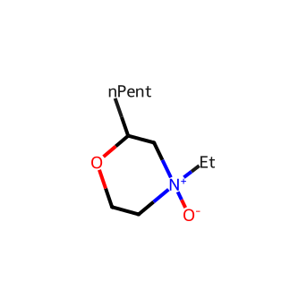 CCCCCC1C[N+]([O-])(CC)CCO1